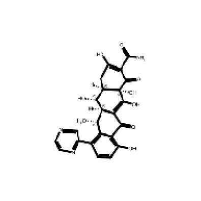 C[C@H]1c2c(-c3cnccn3)ccc(O)c2C(=O)C2=C(O)[C@]3(O)C(=O)C(C(N)=O)=C(O)C[C@@H]3[C@@H](O)[C@@H]21